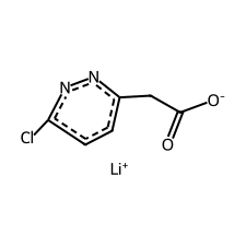 O=C([O-])Cc1ccc(Cl)nn1.[Li+]